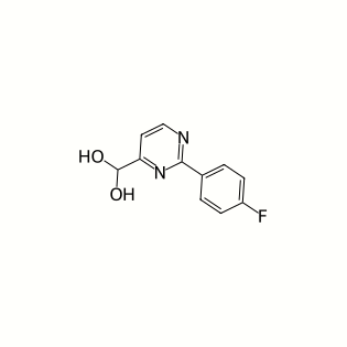 OC(O)c1ccnc(-c2ccc(F)cc2)n1